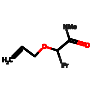 C=CCOC(C(=O)NC)C(C)C